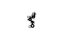 Cc1cc(Nc2nccc(C(F)(F)F)n2)cc(-c2cnc(C3CCCCC(=O)C3)s2)c1